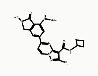 CCCN1Cc2cc(-c3ccn4nc(N)c(C(=O)NC5CCC5)c4n3)cc(NSC)c2C1=O